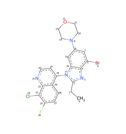 CCc1nc2c(Br)cc(N3CCOCC3)cc2n1-c1ccnc2c(Cl)c(F)ccc12